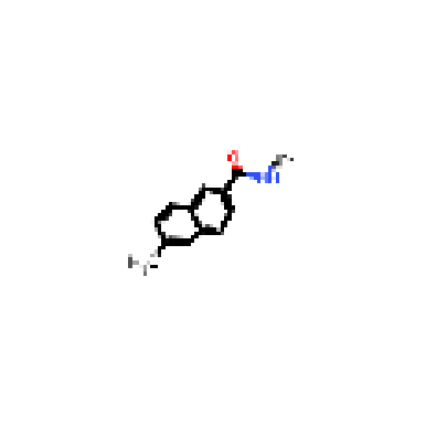 Cc1ccc2cc(C(=O)NC(C)C)ccc2c1